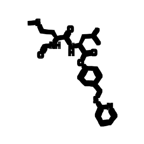 CSCC[C@H](NC=O)C(=O)N[C@@H](CC(C)C)C(=O)Oc1ccc(CSc2ccccn2)cc1